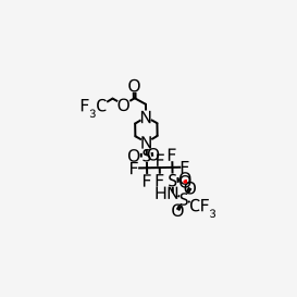 O=C(CN1CCN(S(=O)(=O)C(F)(F)C(F)(F)C(F)(F)S(=O)(=O)NS(=O)(=O)C(F)(F)F)CC1)OCC(F)(F)F